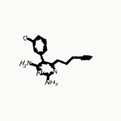 C#CCCCc1nc(N)nc(N)c1-c1cccc(Cl)c1